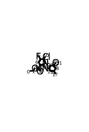 CCOC(=O)c1cc(F)c(Cl)nc1Nc1cc(C)cc(OC)c1